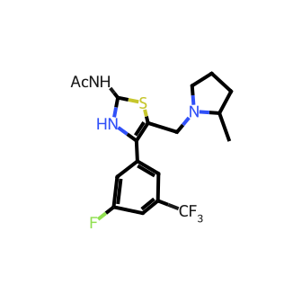 CC(=O)NC1NC(c2cc(F)cc(C(F)(F)F)c2)=C(CN2CCCC2C)S1